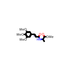 COC(=O)C(C)NC(=O)/C=C/c1cc(OC)c(OC)c(OC)c1